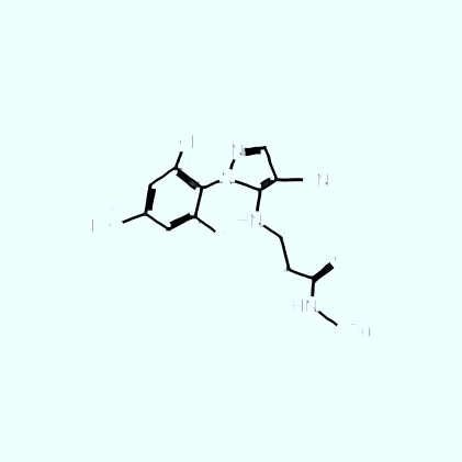 CCCCNC(=O)CCNc1c(C#N)cnn1-c1c(Cl)cc(C(F)(F)F)cc1Cl